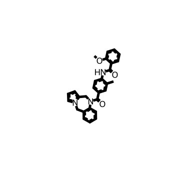 COc1ccccc1C(=O)Nc1ccc(C(=O)N2Cc3cccn3Cc3ccccc32)cc1C